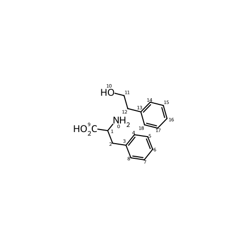 NC(Cc1ccccc1)C(=O)O.OCCc1ccccc1